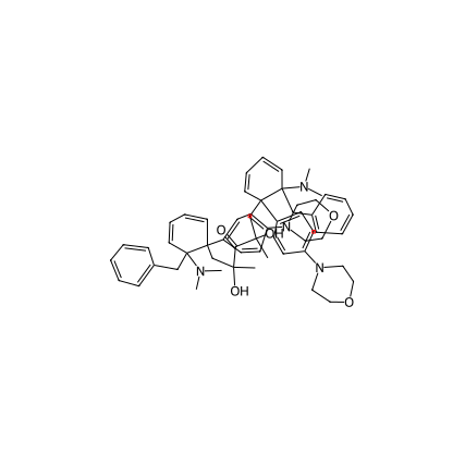 CN(C)C1(Cc2ccccc2)C=CC=CC1(CC(C)(O)C(=O)C(C)(O)CC1(c2ccc(N3CCOCC3)cc2)C=CC=CC1(Cc1ccccc1)N(C)C)c1ccc(N2CCOCC2)cc1